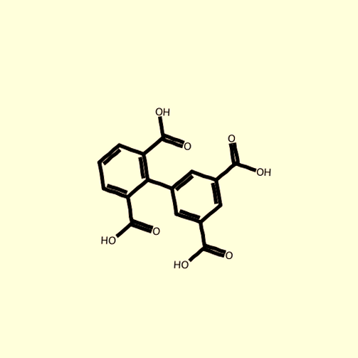 O=C(O)c1cc(C(=O)O)cc(-c2c(C(=O)O)cccc2C(=O)O)c1